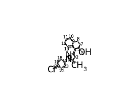 Cc1cc(-c2c(O)ccc3ccccc23)nn1-c1ccc(Cl)cc1